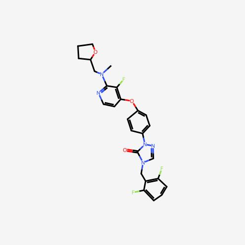 CN(CC1CCCO1)c1nccc(Oc2ccc(-n3ncn(Cc4c(F)cccc4F)c3=O)cc2)c1F